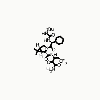 CC(C)(C)NC(=O)N[C@H](C(=O)N1C[C@H]2[C@@H]([C@H]1C(=O)NC(CC(F)(F)F)C(=O)C(N)=O)C2(C)C)C1CCCCC1